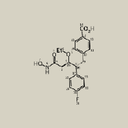 CCO[C@H](CC(=O)NO)[C@H](Cc1ccc(C(=O)O)cc1)c1ccc(F)cc1